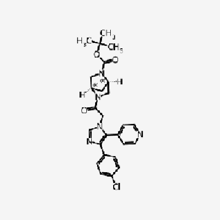 CC(C)(C)OC(=O)N1C[C@H]2C[C@@H]1CN2C(=O)Cn1cnc(-c2ccc(Cl)cc2)c1-c1ccncc1